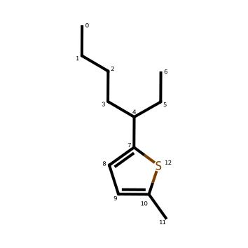 CCCCC(CC)c1ccc(C)s1